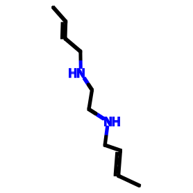 C/C=C/CNCCNC/C=C/C